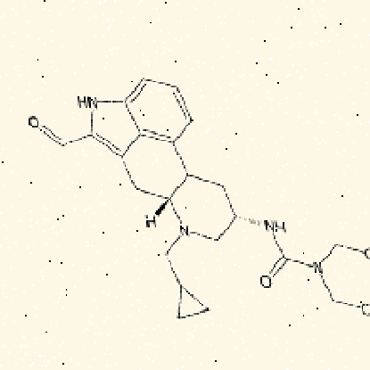 CCN(CC)C(=O)N[C@H]1CC2c3cccc4[nH]c(C=O)c(c34)C[C@H]2N(CC2CC2)C1